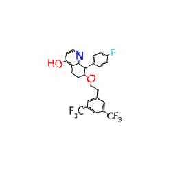 Oc1ccnc2c1CCC(OCCc1cc(C(F)(F)F)cc(C(F)(F)F)c1)C2c1ccc(F)cc1